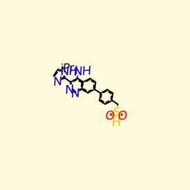 CC(C)Nc1c(-c2ncc[nH]2)nnc2cc(-c3ccc(C[SH](=O)=O)cc3)ccc12